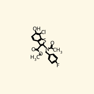 COC(=O)c1c(N(Cc2ccc(F)cc2)C(C)=O)sc2c(Cl)c(O)ccc12